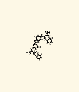 CC(S)C(Sc1ccccc1)Sc1ccc(Sc2ccc(SC(Sc3ccccc3)C(C)S)cc2)cc1